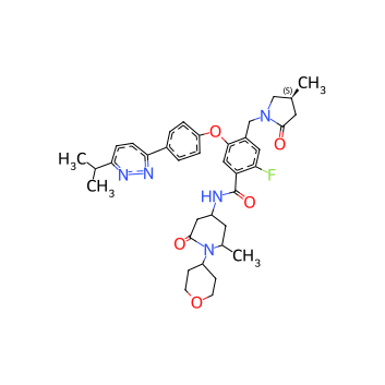 CC(C)c1ccc(-c2ccc(Oc3cc(C(=O)NC4CC(=O)N(C5CCOCC5)C(C)C4)c(F)cc3CN3C[C@@H](C)CC3=O)cc2)nn1